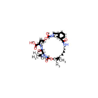 CC1(C)CCCCNC(=O)c2cccc3c2CN(C3)C(=O)O[C@@H]2CC(C(=O)O)N(C2)C(=O)[C@H](C(C)(C)C)NC(=O)OC1